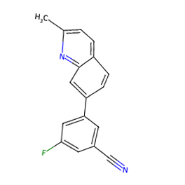 Cc1ccc2ccc(-c3cc(F)cc(C#N)c3)cc2n1